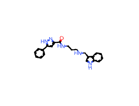 O=C(NCCCNCc1c[nH]c2ccccc12)c1cc(-c2ccccc2)[nH]n1